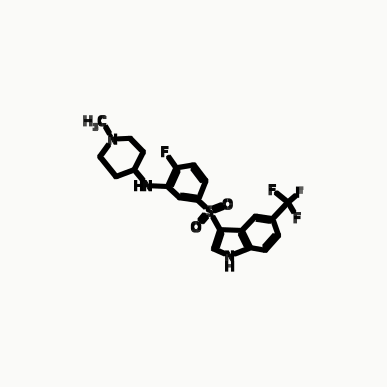 CN1CCC(Nc2cc(S(=O)(=O)c3c[nH]c4ccc(C(F)(F)F)cc34)ccc2F)CC1